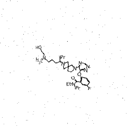 CCN(C(=O)c1cc(F)ccc1Oc1nncnc1N1CCC2(C1)CN(C(CCCN(C)CCO)C(C)C)C2)C(C)C